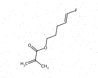 C=C(C)C(=O)OCCCC=CF